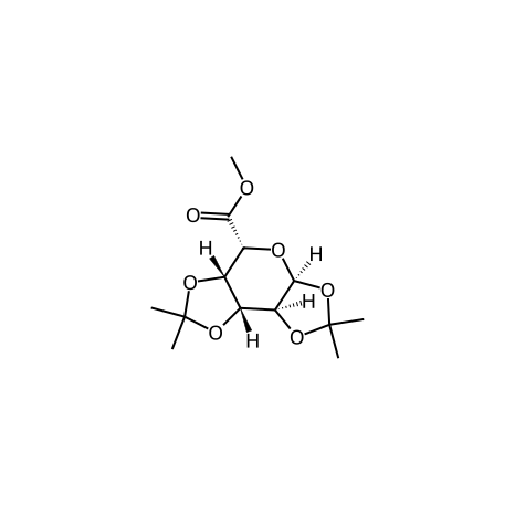 COC(=O)[C@@H]1O[C@H]2OC(C)(C)O[C@H]2[C@@H]2OC(C)(C)O[C@@H]21